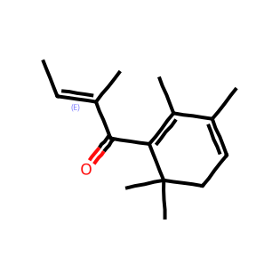 C/C=C(\C)C(=O)C1=C(C)C(C)=CCC1(C)C